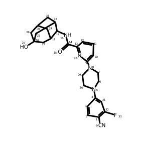 N#Cc1ccc(N2CCN(c3cccc(C(=O)NC4C5CC6CC4CC(O)(C6)C5)n3)CC2)cc1F